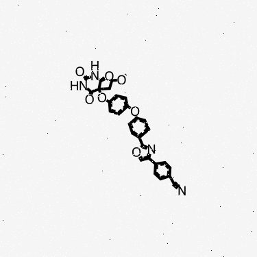 COCCC1(Oc2ccc(Oc3ccc(-c4nc(-c5ccc(C#N)cc5)co4)cc3)cc2)C(=O)NC(=O)NC1=O